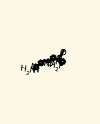 COCCCn1c(C2CCCN(C(=O)CC(N)Cc3ccc(-c4cnc(N)nc4)cc3)C2)nc2c(F)cccc21